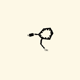 N#[N+]c1ccccc1CO